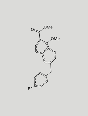 COC(=O)c1ccc2cc(Cc3ccc(F)cc3)cnc2c1OC